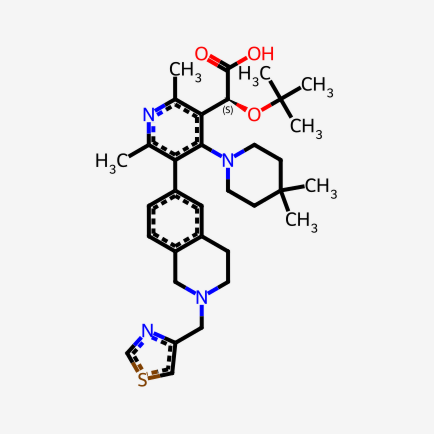 Cc1nc(C)c([C@H](OC(C)(C)C)C(=O)O)c(N2CCC(C)(C)CC2)c1-c1ccc2c(c1)CCN(Cc1cscn1)C2